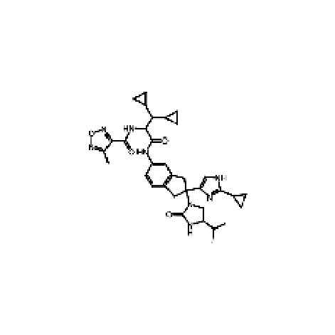 Cc1nonc1C(=O)N[C@H](C(=O)Nc1ccc2c(c1)CC(c1c[nH]c(C3CC3)n1)(N1C[C@@H](C(C)C)NC1=O)C2)C(C1CC1)C1CC1